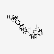 CCn1c(SCC(=O)Nc2nnc(-c3ccc(S(C)(=O)=O)cc3)s2)nnc1-c1cccnc1